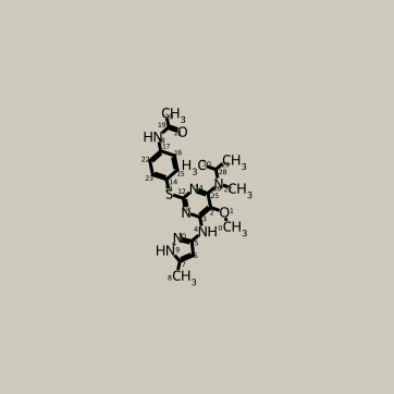 COc1c(Nc2cc(C)[nH]n2)nc(Sc2ccc(NC(C)=O)cc2)nc1N(C)C(C)C